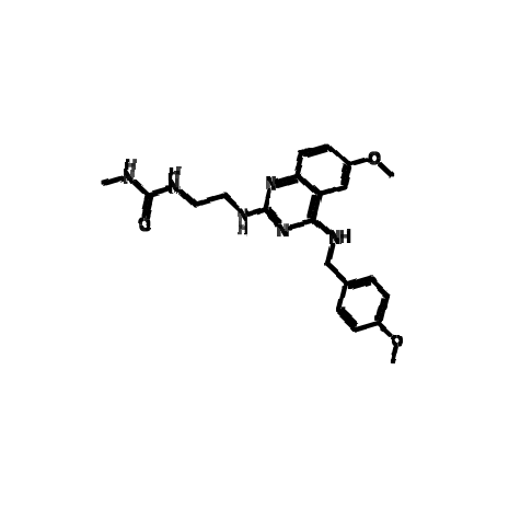 CNC(=O)NCCNc1nc(NCc2ccc(OC)cc2)c2cc(OC)ccc2n1